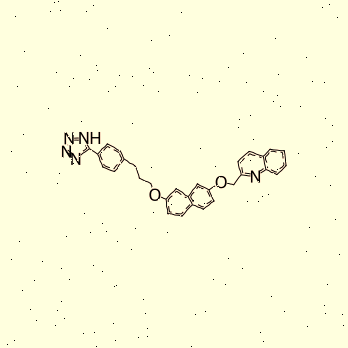 c1ccc2nc(COc3ccc4ccc(OCCCc5ccc(-c6nnn[nH]6)cc5)cc4c3)ccc2c1